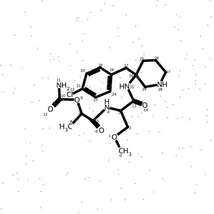 COCC(NC(=O)C(C)OC(N)=O)C(=O)NC1(Cc2ccc(Cl)cc2)CCCNC1